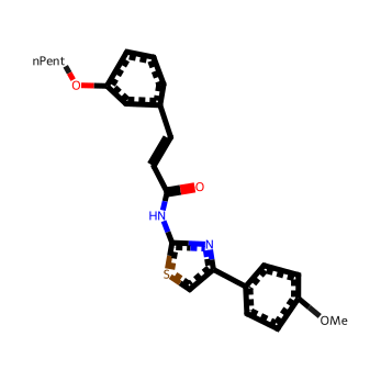 CCCCCOc1cccc(/C=C/C(=O)Nc2nc(-c3ccc(OC)cc3)cs2)c1